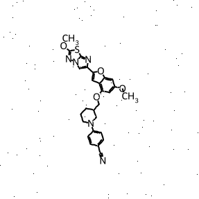 COc1cc(OCC2CCCN(c3ccc(C#N)cc3)C2)c2cc(-c3cn4nc(OC)sc4n3)oc2c1